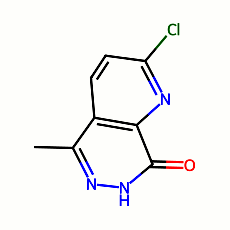 Cc1n[nH]c(=O)c2nc(Cl)ccc12